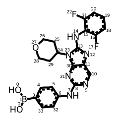 OB(O)c1ccc(Nc2ncc3nc(Nc4c(F)cccc4F)n(C4CCOCC4)c3n2)cc1